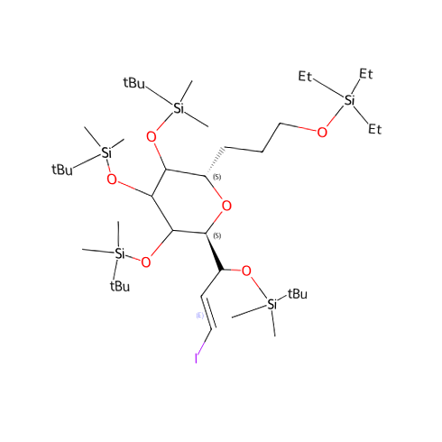 CC[Si](CC)(CC)OCCC[C@@H]1O[C@@H](C(/C=C/I)O[Si](C)(C)C(C)(C)C)C(O[Si](C)(C)C(C)(C)C)C(O[Si](C)(C)C(C)(C)C)C1O[Si](C)(C)C(C)(C)C